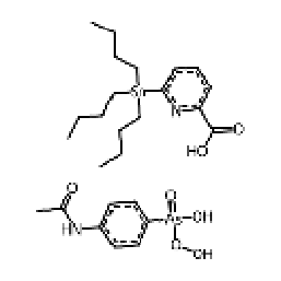 CC(=O)Nc1ccc([As](=O)(O)OO)cc1.CCC[CH2][Sn]([CH2]CCC)([CH2]CCC)[c]1cccc(C(=O)O)n1